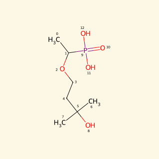 CC(OCCC(C)(C)O)P(=O)(O)O